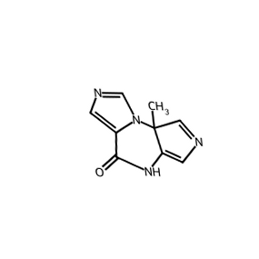 CC12C=NC=C1NC(=O)c1cncn12